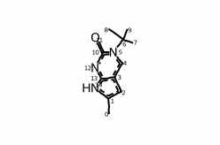 Cc1cc2cn(C(C)(C)C)c(=O)nc2[nH]1